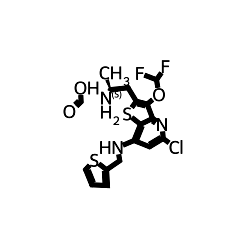 C[C@H](N)Cc1sc2c(NCc3cccs3)cc(Cl)nc2c1OC(F)F.O=CO